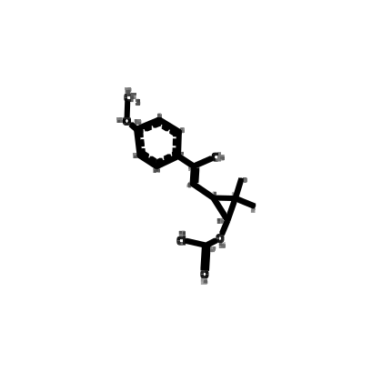 CC1(C)C(C=C(Cl)c2ccc(OC(F)(F)F)cc2)C1OC(=O)Cl